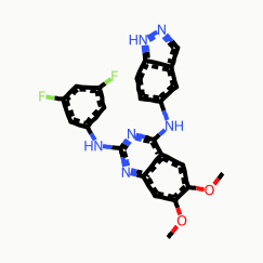 COc1cc2nc(Nc3cc(F)cc(F)c3)nc(Nc3ccc4[nH]ncc4c3)c2cc1OC